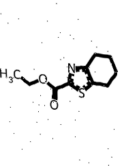 CCOC(=O)c1nc2c(s1)CCCC2